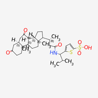 CC(C)C(NC(=O)C[C@@H](C)C1CC[C@H]2[C@@H]3C(=O)C[C@@H]4CC(=O)CC[C@]4(C)[C@H]3CC[C@]12C)c1ccc(S(=O)(=O)O)s1